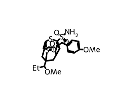 CCC(OC)C12CC3=C(S/C(S(N)(=O)=O)=C\C(C1)N(Cc1ccc(OC)cc1)C3)S2(=O)=O